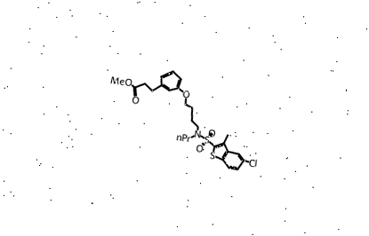 CCCN(CCCCOc1cccc(CCC(=O)OC)c1)S(=O)(=O)c1sc2ccc(Cl)cc2c1C